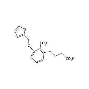 O=C(O)CCCc1cccc(OCc2cccs2)c1C(=O)O